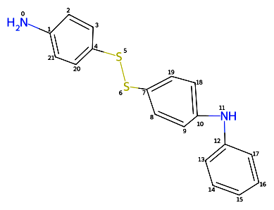 Nc1ccc(SSc2ccc(Nc3ccccc3)cc2)cc1